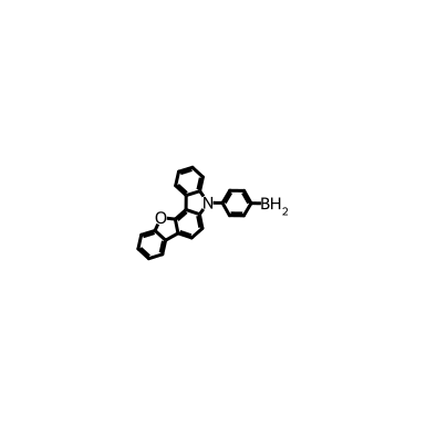 Bc1ccc(-n2c3ccccc3c3c4oc5ccccc5c4ccc32)cc1